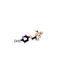 CCC(COc1ccc(C=O)nc1)OS(C)(=O)=O